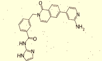 Nc1cc(-c2ccc3c(=O)n(Cc4cccc(C(=O)Nc5ncc[nH]5)c4)ccc3c2)ccn1